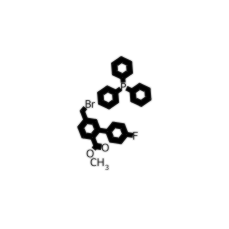 COC(=O)c1ccc(CBr)cc1-c1ccc(F)cc1.c1ccc(P(c2ccccc2)c2ccccc2)cc1